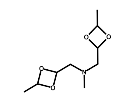 CC1OC(CN(C)CC2OC(C)O2)O1